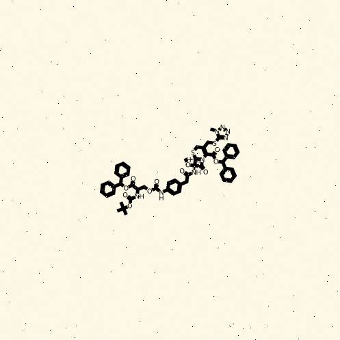 CO[C@@]1(NC(=O)Cc2ccc(NC(=O)OCC(NC(=O)OC(C)(C)C)C(=O)OC(c3ccccc3)c3ccccc3)cc2)C(=O)N2C(C(=O)OC(c3ccccc3)c3ccccc3)=C(CSc3nnnn3C)CS[C@@H]21